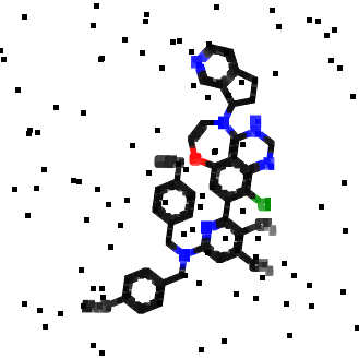 COc1ccc(CN(Cc2ccc(OC)cc2)c2cc(C)c(C(F)(F)F)c(-c3cc4c5c(c3Cl)=NCNC=5N(C3CCc5ccncc53)C=CO4)n2)cc1